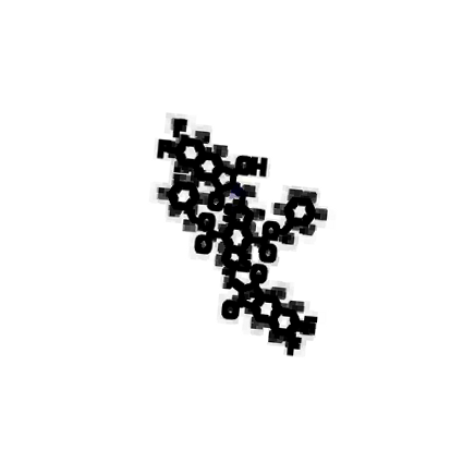 O=C1C(=Cc2cc3c(C(=O)OCc4ccccc4)c4sc(/C=C5\C(=O)c6cc7cc(F)c(F)cc7cc6C5O)cc4c(C(=O)OCc4ccccc4)c3s2)C(=O)c2cc3cc(F)c(F)cc3cc21